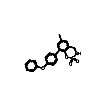 Cc1cc2c(c(-c3ccc(Oc4ccccc4)cc3)c1)OS(=O)(=O)NC2